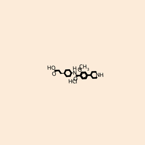 COc1cc(C2CCNCC2)ccc1C(=O)N[C@H]1CC[C@H](CCC(=O)O)CC1.Cl